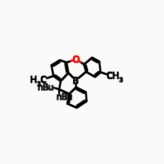 CCCCC1(CCCC)c2ccccc2B2c3cc(C)ccc3Oc3ccc(C)c1c32